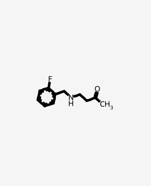 CC(=O)CCNCc1ccccc1F